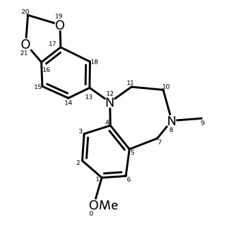 COc1ccc2c(c1)CN(C)CCN2c1ccc2c(c1)OCO2